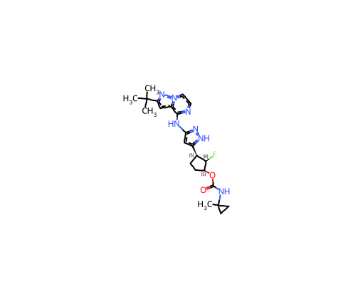 CC1(NC(=O)O[C@H]2CC[C@@H](c3cc(Nc4nccn5nc(C(C)(C)C)cc45)n[nH]3)[C@H]2F)CC1